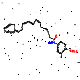 CCCCC/C=C\C/C=C\C/C=C\C/C=C\CCCC(=O)Nc1ccc(O)c(C)c1